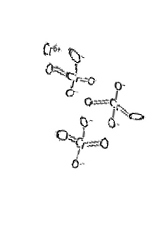 [Cr+6].[O]=[Cr](=[O])([O-])[O-].[O]=[Cr](=[O])([O-])[O-].[O]=[Cr](=[O])([O-])[O-]